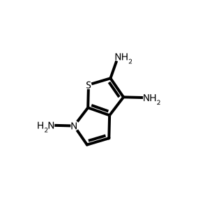 Nc1sc2c(ccn2N)c1N